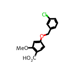 COc1cc(OCc2cccc(Cl)c2)ccc1C(=O)O